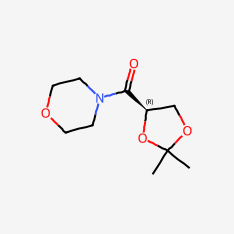 CC1(C)OC[C@H](C(=O)N2CCOCC2)O1